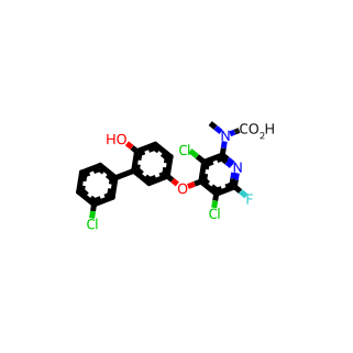 CN(C(=O)O)c1nc(F)c(Cl)c(Oc2ccc(O)c(-c3cccc(Cl)c3)c2)c1Cl